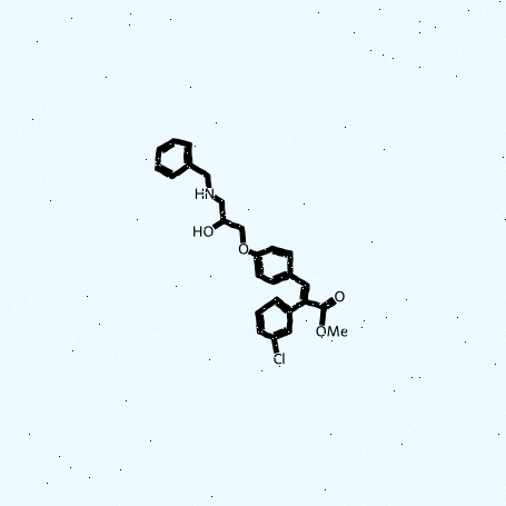 COC(=O)C(=Cc1ccc(OCC(O)CNCc2ccccc2)cc1)c1cccc(Cl)c1